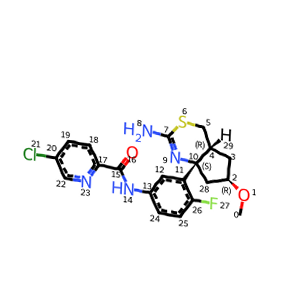 CO[C@@H]1C[C@H]2CSC(N)=N[C@@]2(c2cc(NC(=O)c3ccc(Cl)cn3)ccc2F)C1